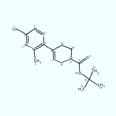 Cc1nc(Cl)ncc1C1=CCN(C(=O)OC(C)(C)C)CC1